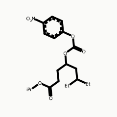 [CH2]C([CH2])OC(=O)CCC(CC(CC)CC)OC(=O)Oc1ccc([N+](=O)[O-])cc1